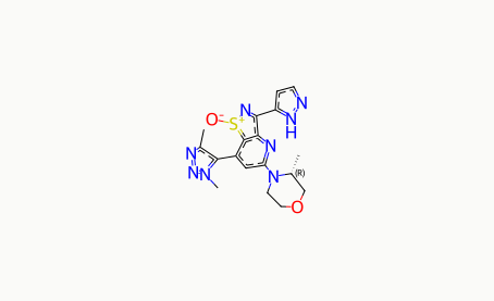 Cc1nnn(C)c1-c1cc(N2CCOC[C@H]2C)nc2c(-c3ccn[nH]3)n[s+]([O-])c12